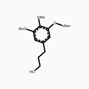 CCCCCCCCCOc1cc(CCCO)cc(OC)c1OC